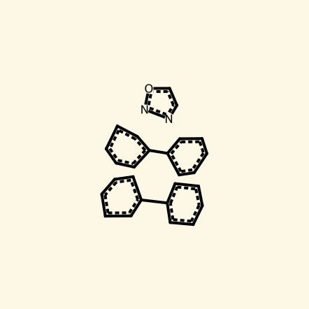 c1ccc(-c2ccccc2)cc1.c1ccc(-c2ccccc2)cc1.c1conn1